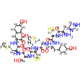 CSCC[C@H](NC(=O)[C@H](Cc1ccc(O)cc1)NC(=O)[C@H](CS)NC(=O)[C@@H](N)Cc1c[nH]cn1)C(=O)N[C@@H](CS)C(=O)N[C@H](CO)C(=O)N[C@@H](CCSC)C(=O)N[C@@H](Cc1ccc(O)cc1)C(=O)O